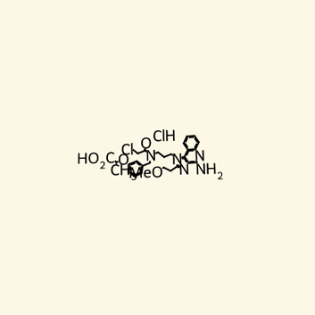 COCCc1nc2c(N)nc3ccccc3c2n1CCCN(Cc1cccc(OC(C)C(=O)O)c1)C(=O)CCl.Cl